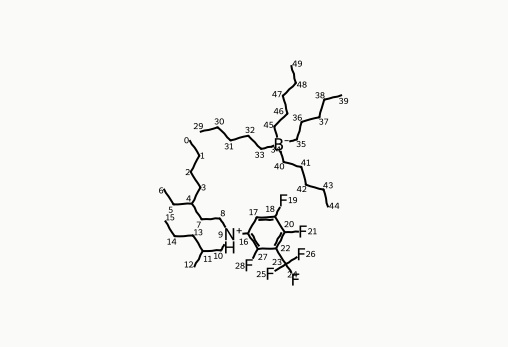 CCCCC(CC)CC[NH+](CC(C)CCC)c1cc(F)c(F)c(C(F)(F)F)c1F.CCCCC[B-](CCCCC)(CCCCC)CCCCC